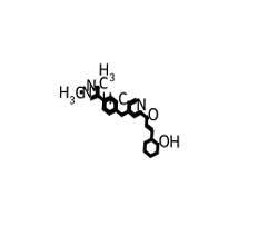 Cc1cnc(C(=O)/C=C/C2CCCC[C@@H]2O)cc1Cc1ccc(-c2cn(C)nc2C)cc1